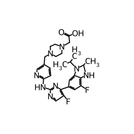 CC(C)N1c2cc(-c3nc(Nc4ccc(CN5CCN(CC(=O)O)CC5)cn4)ncc3F)cc(F)c2NC1C